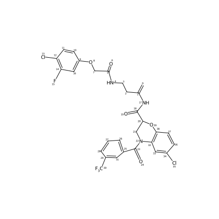 C=C(CCNC(=O)COc1ccc(Cl)c(F)c1)NC(=O)C1CN(C(=O)c2cccc(C(F)(F)F)c2)c2cc(Cl)ccc2O1